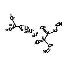 N#COC(=O)C(=O)OC#N.[Li+].[Li+].[Li+].[O-]B([O-])[O-]